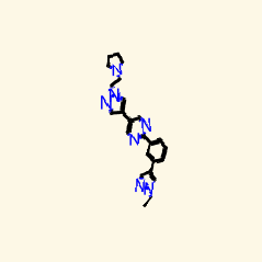 CCn1cc(-c2cccc(-c3ncc(-c4cnn(CCN5CCCC5)c4)cn3)c2)cn1